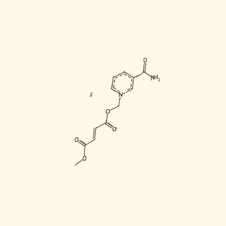 COC(=O)C=CC(=O)OC[n+]1cccc(C(N)=O)c1.[I-]